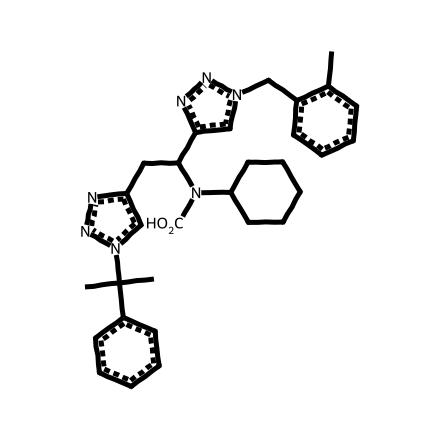 Cc1ccccc1Cn1cc(C(Cc2cn(C(C)(C)c3ccccc3)nn2)N(C(=O)O)C2CCCCC2)nn1